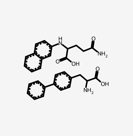 NC(=O)CCC(Nc1ccc2ccccc2c1)C(=O)O.NC(Cc1ccc(-c2ccccc2)cc1)C(=O)O